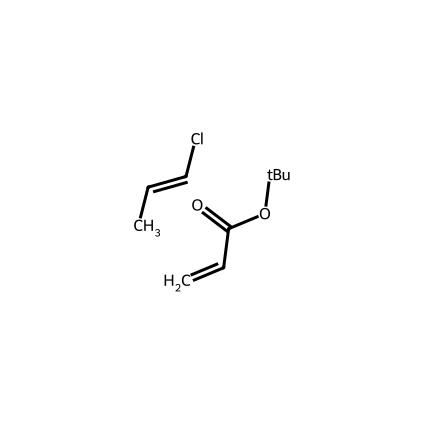 C=CC(=O)OC(C)(C)C.CC=CCl